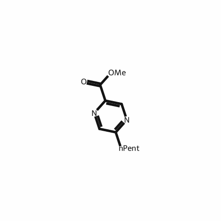 CCCCCc1cnc(C(=O)OC)cn1